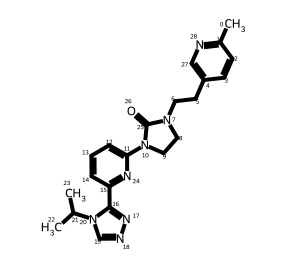 Cc1ccc(CCN2CCN(c3cccc(-c4nncn4C(C)C)n3)C2=O)cn1